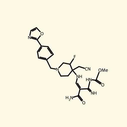 COC(=O)NC(=N)/C(=C\NC1(CC#N)CCN(Cc2ccc(-c3ncco3)cc2)CC1F)C(N)=O